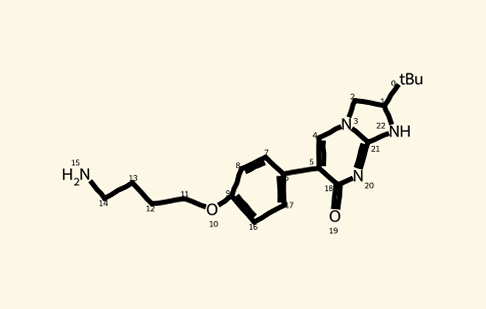 CC(C)(C)C1Cn2cc(-c3ccc(OCCCCN)cc3)c(=O)nc2N1